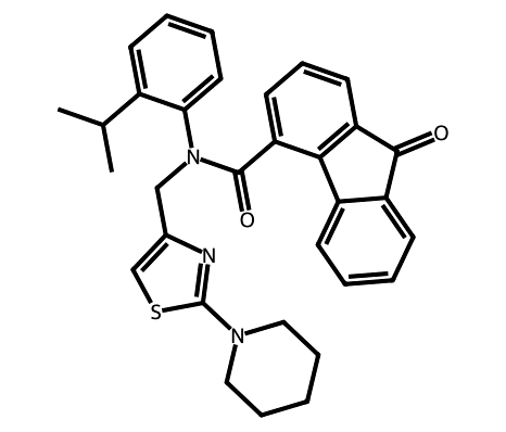 CC(C)c1ccccc1N(Cc1csc(N2CCCCC2)n1)C(=O)c1cccc2c1-c1ccccc1C2=O